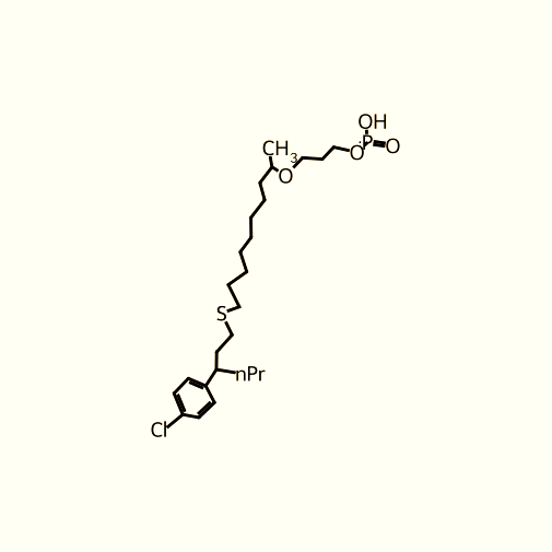 CCCC(CCSCCCCCCCCC(C)OCCCO[P](=O)O)c1ccc(Cl)cc1